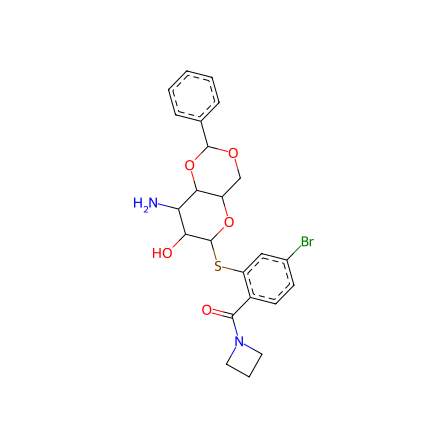 NC1C(O)C(Sc2cc(Br)ccc2C(=O)N2CCC2)OC2COC(c3ccccc3)OC21